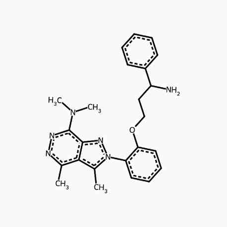 Cc1nnc(N(C)C)c2nn(-c3ccccc3OCCC(N)c3ccccc3)c(C)c12